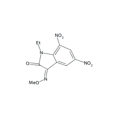 CCN1C(=O)C(=NOC)c2cc([N+](=O)[O-])cc([N+](=O)[O-])c21